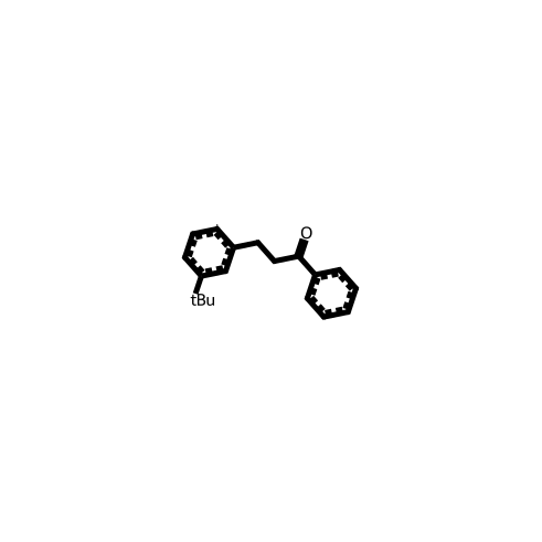 CC(C)(C)c1cc[c]c(CCC(=O)c2ccccc2)c1